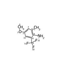 COc1cc(C)c(N)c(C(F)(F)F)c1